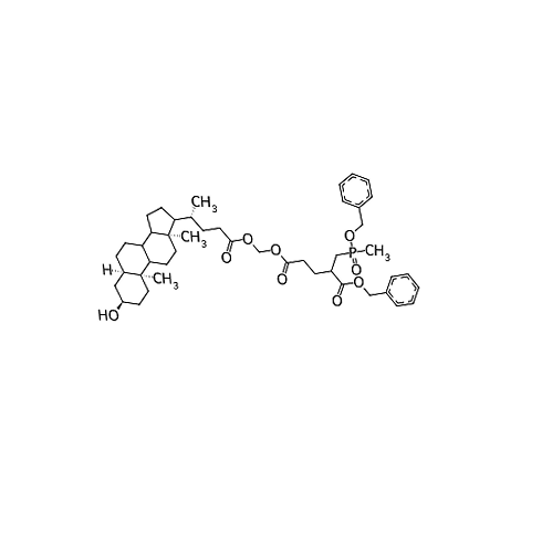 C[C@H](CCC(=O)OCOC(=O)CCC(CP(C)(=O)OCc1ccccc1)C(=O)OCc1ccccc1)C1CCC2C3CC[C@@H]4C[C@H](O)CC[C@]4(C)C3CC[C@@]21C